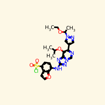 CCOC(C)n1cc(-c2ncn3nc(Nc4ccc(S(=O)(=O)Cl)c5ccoc45)nc3c2OC(C)C)cn1